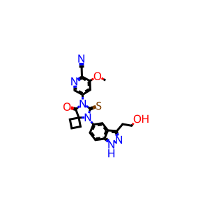 COc1cc(N2C(=O)C3(CCC3)N(c3ccc4[nH]nc(CCO)c4c3)C2=S)cnc1C#N